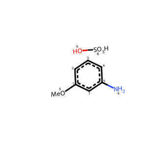 COc1cccc(N)c1.O=S(=O)(O)O